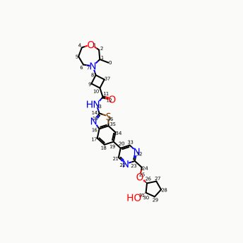 CC1COCCCN1C1CC(C(=O)Nc2nc3ccc(-c4cnc(CO[C@H]5CCC[C@@H]5O)nc4)cc3s2)C1